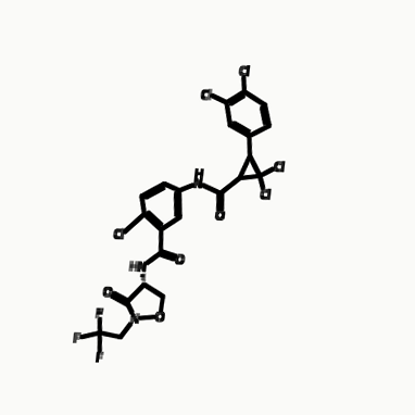 O=C(N[C@@H]1CON(CC(F)(F)F)C1=O)c1cc(NC(=O)C2C(c3ccc(Cl)c(Cl)c3)C2(Cl)Cl)ccc1Cl